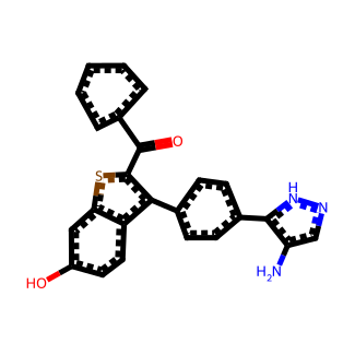 Nc1cn[nH]c1-c1ccc(-c2c(C(=O)c3ccccc3)sc3cc(O)ccc23)cc1